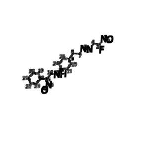 O=NC(F)CN=NCCc1ccc(NCC(N=O)c2ccccc2)cc1